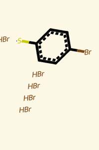 Br.Br.Br.Br.Br.[S]c1ccc(Br)cc1